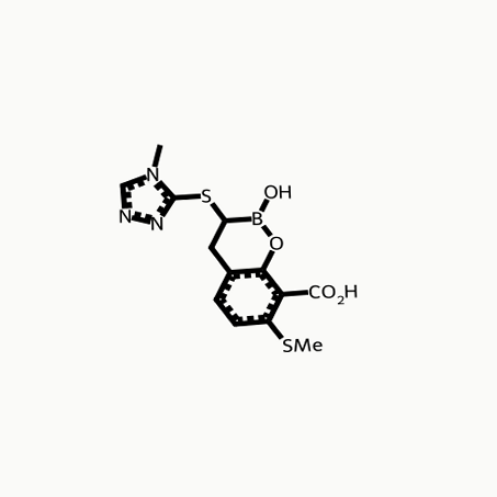 CSc1ccc2c(c1C(=O)O)OB(O)C(Sc1nncn1C)C2